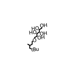 CC(CCOC[C@H](O)[C@@H](O)[C@H](O)[C@H](O)CO)CC(C)(C)C